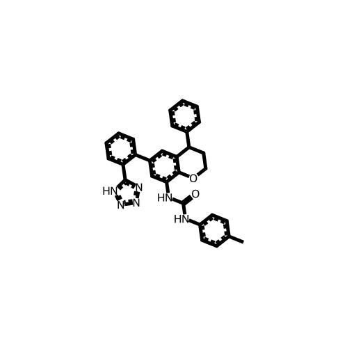 Cc1ccc(NC(=O)Nc2cc(-c3ccccc3-c3nnn[nH]3)cc3c2OCCC3c2ccccc2)cc1